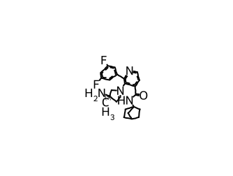 C[C@]1(N)CCN(c2c(C(=O)NC34CCC(CC3)C4)ccnc2-c2cc(F)cc(F)c2)C1